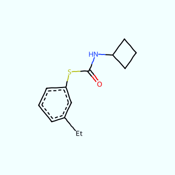 CCc1cccc(SC(=O)NC2CCC2)c1